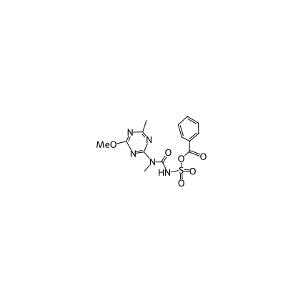 COc1nc(C)nc(N(C)C(=O)NS(=O)(=O)OC(=O)c2ccccc2)n1